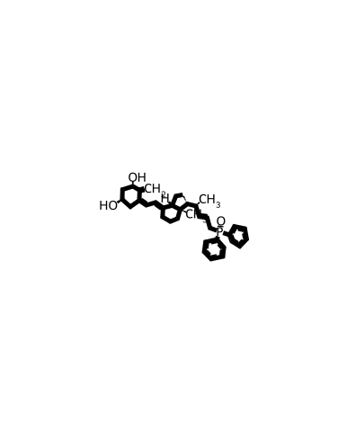 C=C1/C(=C\C=C2/CCC[C@]3(C)[C@@H]([C@H](C)/C=C/CP(=O)(c4ccccc4)c4ccccc4)CC[C@@H]23)C[C@@H](O)C[C@@H]1O